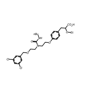 CCCCNC(=O)N(CCOCc1cc(Cl)cc(Cl)c1)CCOc1ccc(CC(OCC)C(=O)O)cc1